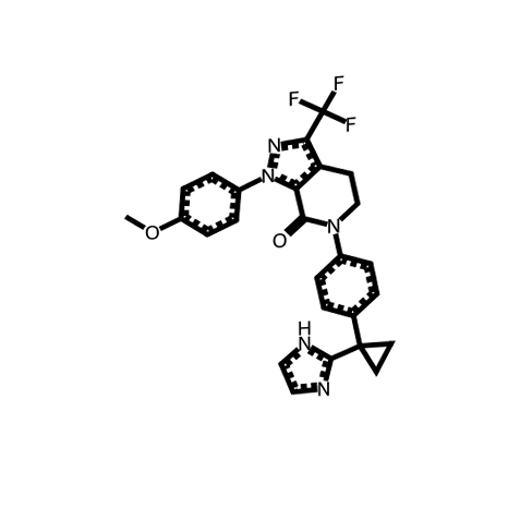 COc1ccc(-n2nc(C(F)(F)F)c3c2C(=O)N(c2ccc(C4(c5ncc[nH]5)CC4)cc2)CC3)cc1